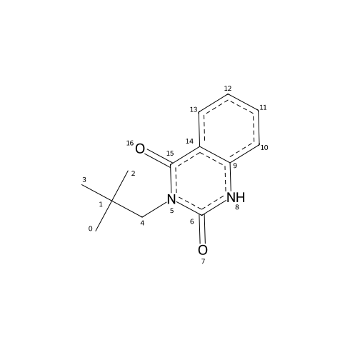 CC(C)(C)Cn1c(=O)[nH]c2ccccc2c1=O